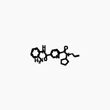 C=CCN(C(=O)c1ccc(C(=O)Nc2ccccc2N)cn1)C1CCCC1